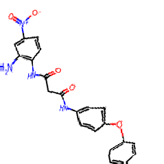 Nc1cc([N+](=O)[O-])ccc1NC(=O)CC(=O)Nc1ccc(Oc2ccccc2)cc1